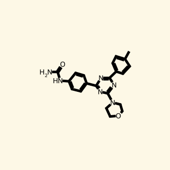 Cc1ccc(-c2nc(-c3ccc(NC(N)=O)cc3)nc(N3CCOCC3)n2)cc1